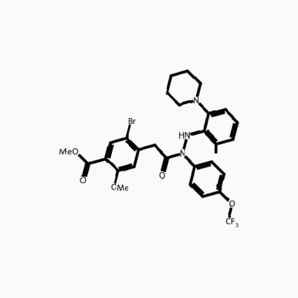 COC(=O)c1cc(Br)c(CC(=O)N(Nc2c(C)cccc2N2CCCCC2)c2ccc(OC(F)(F)F)cc2)cc1OC